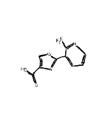 Nc1ncccc1-c1nc(C(=O)O)co1